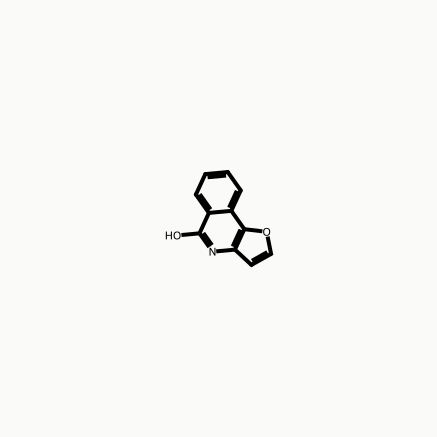 Oc1nc2ccoc2c2ccccc12